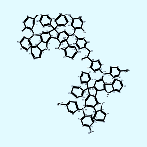 Cc1ccc(C)c(N(c2ccccc2)c2cc3c(c4oc5ccccc5c24)-c2c(cc(N(c4ccc(CC(C)c5ccc(N(c6ccc(C(C)C)cc6)c6cc7c(c8oc9ccccc9c68)-c6c(cc(N(c8ccc(C(C)C)cc8)c8ccc(C(C)C)cc8)c8c6oc6ccccc68)C7(c6ccccc6)c6ccccc6)cc5)cc4)c4cc(C)ccc4C)c4c2oc2ccccc24)C3(c2ccccc2)c2ccccc2)c1